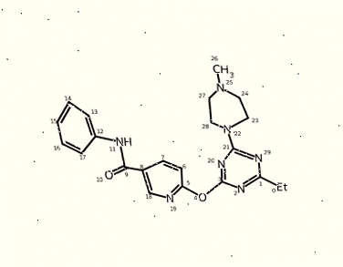 CCc1nc(Oc2ccc(C(=O)Nc3ccccc3)cn2)nc(N2CCN(C)CC2)n1